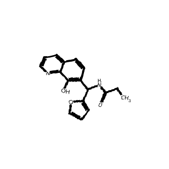 CCC(=O)NC(c1ccco1)c1ccc2cccnc2c1O